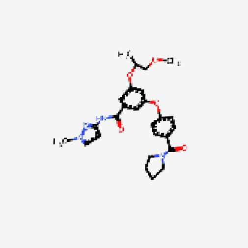 COCC(C)Oc1cc(Oc2ccc(C(=O)N3CCCC3)cc2)cc(C(=O)Nc2ccn(C)n2)c1